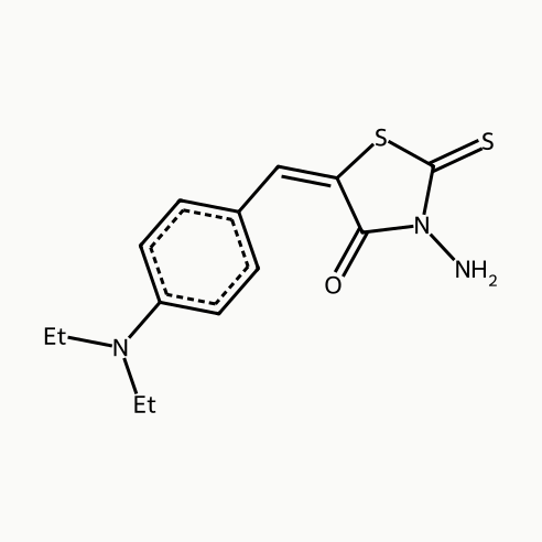 CCN(CC)c1ccc(C=C2SC(=S)N(N)C2=O)cc1